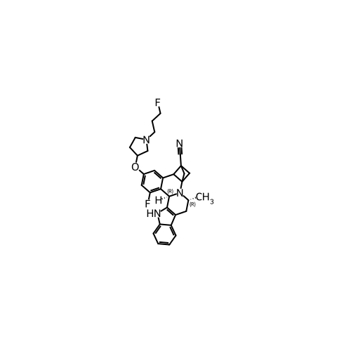 C[C@@H]1Cc2c([nH]c3ccccc23)[C@H]2c3c(F)cc(OC4CCN(CCCF)C4)cc3C3C4(C#N)CC3(C4)N21